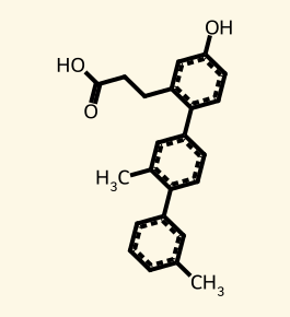 Cc1cccc(-c2ccc(-c3ccc(O)cc3CCC(=O)O)cc2C)c1